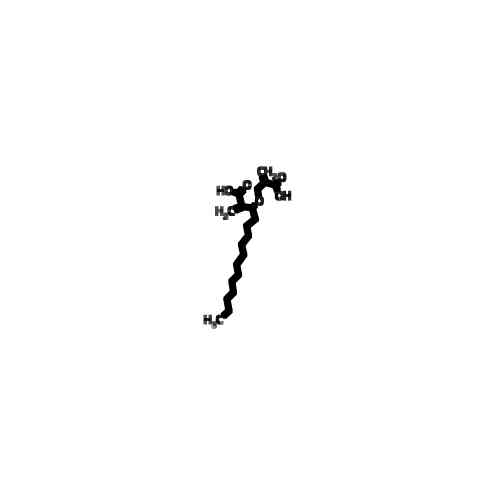 C=C(COC(CCCCCCCCCCCC)C(=C)C(=O)O)C(=O)O